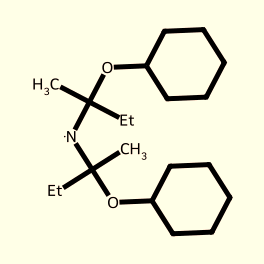 CCC(C)([N]C(C)(CC)OC1CCCCC1)OC1CCCCC1